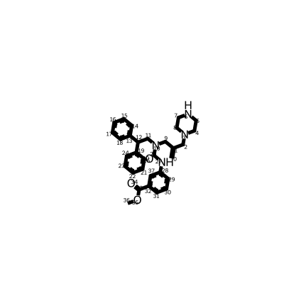 C=C(CN1CCNCC1)CN(CC(c1ccccc1)c1ccccc1)C(=O)Nc1cccc(C(=O)OC)c1